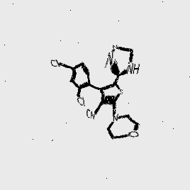 [C-]#[N+]c1c(N2CCOCC2)sc(-c2nnc[nH]2)c1-c1ccc(Cl)cc1Cl